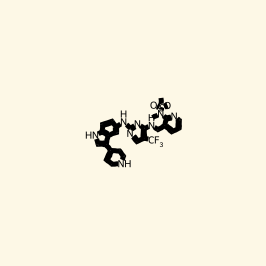 CN(c1ncccc1CNc1nc(Nc2ccc3[nH]cc(C4=CCNCC4)c3c2)ncc1C(F)(F)F)S(C)(=O)=O